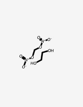 O=[N+]([O-])OCO[N+](=O)[O-].OCCO